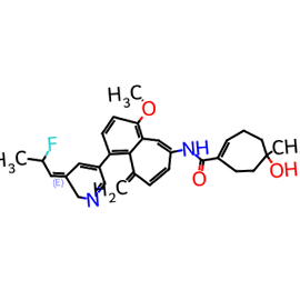 C=C1C=CC(NC(=O)C2=CCCC(C)(O)CC2)=Cc2c(OC)ccc(C3=C/C(=C\C(C)F)CN=C3)c21